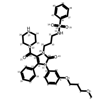 COCCCOc1cccc(-n2c(-c3ccccc3)c(C(=O)N3CCNCC3)n(CCCNS(=O)(=O)c3ccccc3)c2=O)c1